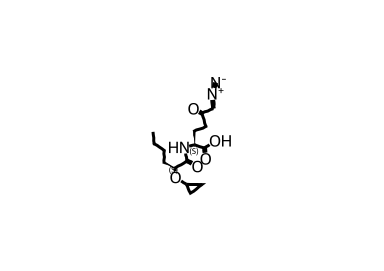 CCCC[C@H](OC1CC1)C(=O)N[C@@H](CCC(=O)C=[N+]=[N-])C(=O)O